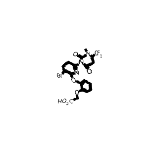 Cn1c(C(F)(F)F)cc(=O)n(-c2ccc(Br)c(Oc3ccccc3OCC(=O)O)n2)c1=O